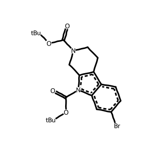 CC(C)(C)OC(=O)N1CCc2c(n(C(=O)OC(C)(C)C)c3cc(Br)ccc23)C1